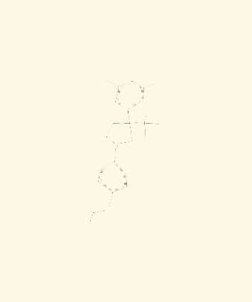 CCSc1ccc(N2CCC(c3cc(Cl)cc(Cl)c3)(C(F)(F)F)C2)cc1